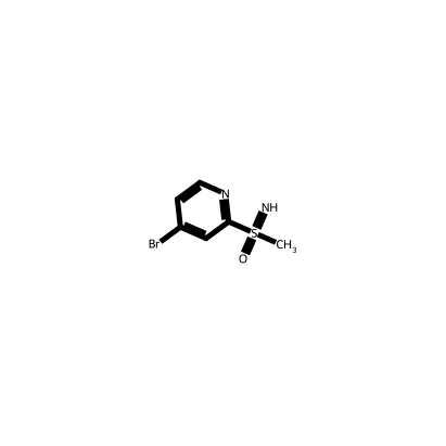 CS(=N)(=O)c1cc(Br)ccn1